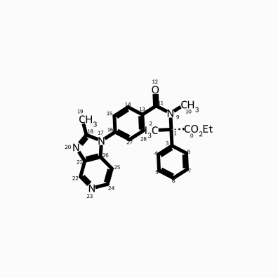 CCOC(=O)[C@@](C)(c1ccccc1)N(C)C(=O)c1ccc(-n2c(C)nc3cnccc32)cc1